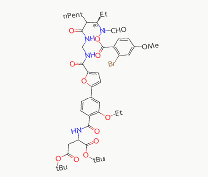 CCCCCC(C(=O)NCNC(=O)c1ccc(-c2ccc(C(=O)NC(CC(=O)OC(C)(C)C)C(=O)OC(C)(C)C)c(OCC)c2)o1)[C@@H](CC)N(C=O)OC(=O)c1ccc(OC)cc1Br